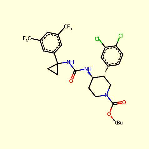 CC(C)(C)OC(=O)N1CC[C@@H](NC(=O)NC2(c3cc(C(F)(F)F)cc(C(F)(F)F)c3)CC2)[C@H](c2ccc(Cl)c(Cl)c2)C1